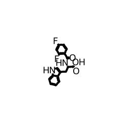 O=C(NC(Cc1c[nH]c2ccccc12)C(=O)O)c1ccc(F)cc1F